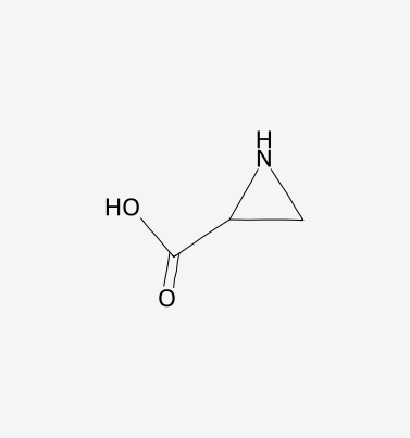 O=C(O)C1CN1